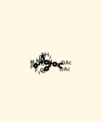 CC(=O)OCCN(CCOC(C)=O)c1ccc(-c2nc3cc(C(CC(N)=O)NC(=O)[C@@H](N)Cc4ccc(F)c(F)c4)ccc3n2Cc2ccc(OC(F)(F)F)cc2)cc1